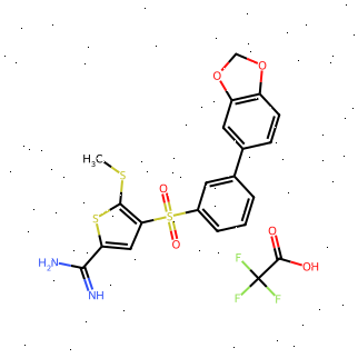 CSc1sc(C(=N)N)cc1S(=O)(=O)c1cccc(-c2ccc3c(c2)OCO3)c1.O=C(O)C(F)(F)F